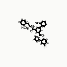 N#Cc1ccccc1-c1cc(C(=O)N[C@H](CO)Cc2ccccc2)cc(C(=O)N2CCCC2c2cccc(Cl)c2)c1